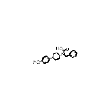 O=C(O)N(Cc1ccccc1)[C@H]1CC[C@H](c2ccc(O)cc2)CC1